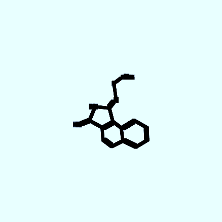 CCCCCCSN=C1NC(=N)c2ccc3ccccc3c21